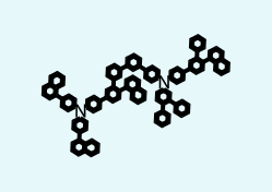 c1ccc(-c2ccc(N(c3ccc(-c4cccc(-c5cccc(-c6cc(-c7ccc(N(c8ccc(-c9cccc%10ccccc9%10)cc8)c8ccc(-c9cccc%10ccccc9%10)cc8)cc7)ccc6-c6cccc7ccccc67)c5)c4)cc3)c3ccc(-c4ccc(-c5cccc6ccccc56)c(-c5ccccc5)c4)cc3)cc2-c2ccccc2)cc1